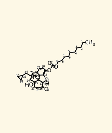 CCCCCCCCCCOC(=O)OC1=C2O[C@H]3C(=O)CC[C@@]4(O)C5CC(C=C1)C2[C@@]34CCN5CC1CC1